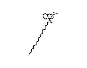 CCCCCCCCCCCCCCCCCCN(C)C(=O)N1CCCCC1CCO